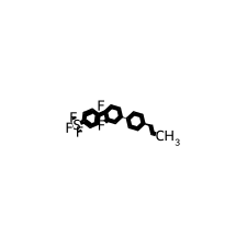 CCC[C@H]1CC[C@H](C2CCC(F)(c3ccc(S(F)(F)F)cc3)C(F)C2)CC1